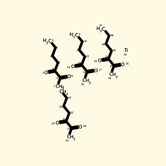 CCCCC(=O)C(C)=O.CCCCC(=O)C(C)=O.CCCCC(=O)C(C)=O.CCCCC(=O)C(C)=O.[Ti]